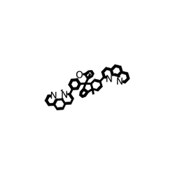 CN1C(c2ccc3c(c2)C2(c4ccccc4C4(C)C=CC(c5ccc6ccc7cccnc7c6n5)=CC42)C2(C)CC=CC=C2O3)=CC=C2C=Cc3cccnc3C21